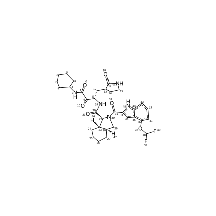 O=C(NC1CCCCC1)C(=O)[C@H](CC1CCNC1=O)NC(=O)[C@@H]1[C@H]2CCCC[C@H]2CN1C(=O)c1cc2c(OC(F)F)cccc2[nH]1